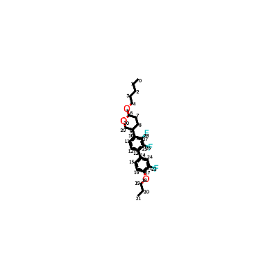 CCCCCOC1CCC(c2ccc(-c3ccc(OCCC)c(F)c3)c(F)c2F)CO1